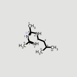 CC(=N)/N=C(/C)NCCC(C)C